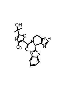 CC(C)(O)c1nc(C#N)c(C(=O)N2CCc3[nH]cnc3[C@H]2c2nc3ccccc3s2)o1